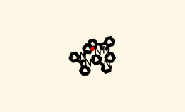 c1ccc(-n2c3ccccc3c3c4ccccc4n(-c4cc(-c5ccccn5)cc(-n5c6ccccc6c6c7ccccc7n(-c7ccccc7)c65)c4)c32)cc1